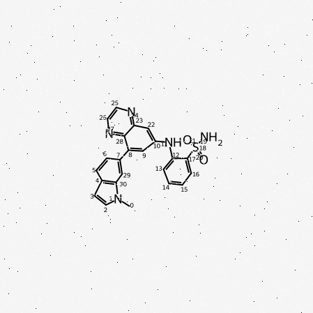 Cn1ccc2ccc(-c3cc(Nc4ccccc4S(N)(=O)=O)cc4nccnc34)cc21